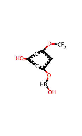 OBOc1cc(O)cc(OC(F)(F)F)c1